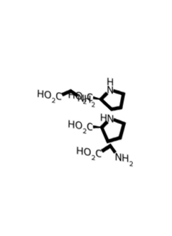 NCC(=O)O.NCC(=O)O.O=C(O)[C@@H]1CCCN1.O=C(O)[C@@H]1CCCN1